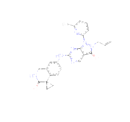 C=CCn1c(=O)c2cnc(Nc3ccc4c(c3)CNC(=O)C43CC3)nc2n1-c1cccc(C(C)(C)C)n1